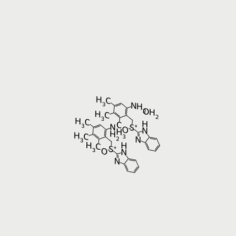 Cc1cc(N)c(C[S+]([O-])c2nc3ccccc3[nH]2)c(C)c1C.Cc1cc(N)c(C[S+]([O-])c2nc3ccccc3[nH]2)c(C)c1C.O